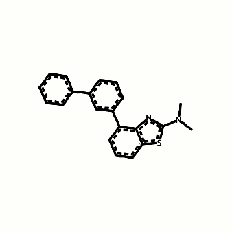 CN(C)c1nc2c(-c3cccc(-c4ccccc4)c3)cccc2s1